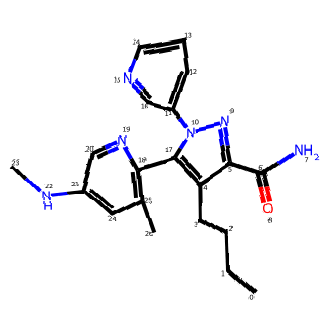 CCCCc1c(C(N)=O)nn(-c2cccnc2)c1-c1ncc(NC)cc1C